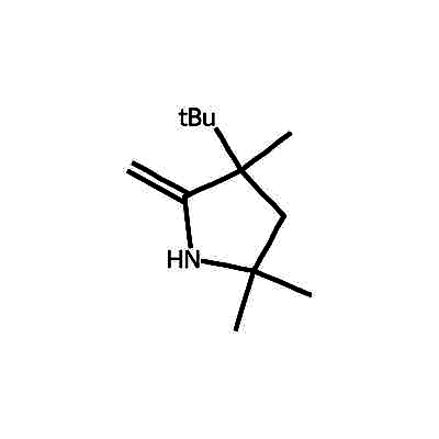 C=C1NC(C)(C)CC1(C)C(C)(C)C